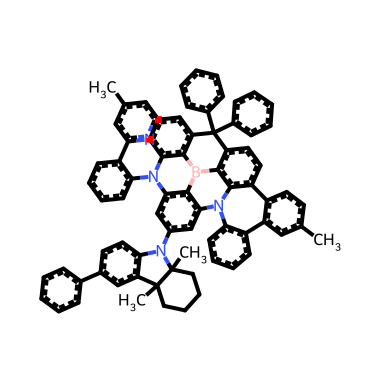 Cc1ccnc(-c2ccccc2N2c3cc(N4c5ccc(-c6ccccc6)cc5C5(C)CCCCC45C)cc4c3B3c5c2cccc5C(c2ccccc2)(c2ccccc2)c2ccc5c(c23)N4c2ccccc2-c2cc(C)ccc2-5)c1